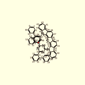 c1ccc(-c2ccc(-c3nc(-c4ccccc4-c4ccccc4)nc(-n4c5ccccc5c5ccc6c7ccc8c9ccccc9n(-c9ccc%10ccccc%10c9)c8c7sc6c54)n3)cc2)cc1